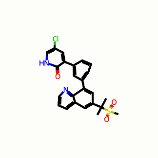 CC(C)(c1cc(-c2cccc(-c3cc(Cl)c[nH]c3=O)c2)c2ncccc2c1)S(C)(=O)=O